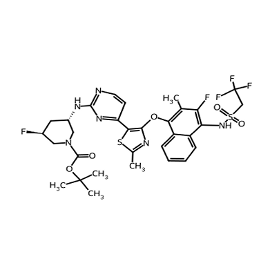 Cc1nc(Oc2c(C)c(F)c(NS(=O)(=O)CC(F)(F)F)c3ccccc23)c(-c2ccnc(N[C@H]3C[C@H](F)CN(C(=O)OC(C)(C)C)C3)n2)s1